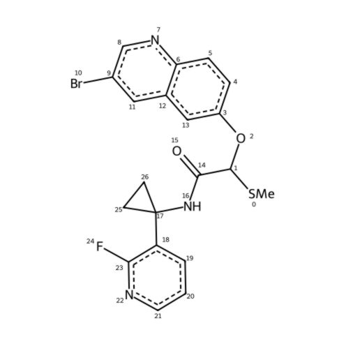 CSC(Oc1ccc2ncc(Br)cc2c1)C(=O)NC1(c2cccnc2F)CC1